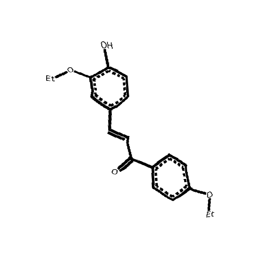 CCOc1ccc(C(=O)/C=C/c2ccc(O)c(OCC)c2)cc1